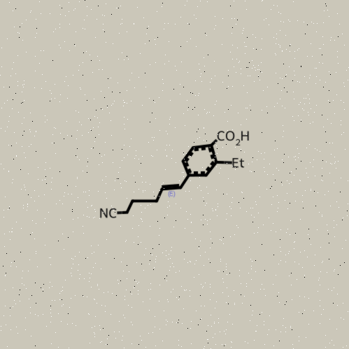 CCc1cc(/C=C/CCCC#N)ccc1C(=O)O